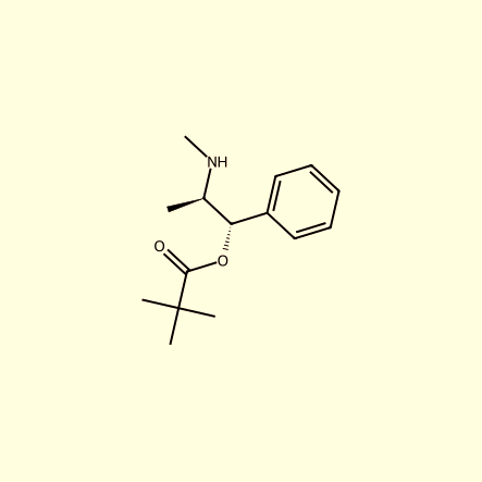 CN[C@H](C)[C@@H](OC(=O)C(C)(C)C)c1ccccc1